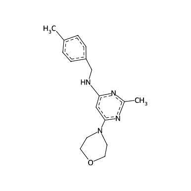 Cc1ccc(CNc2cc(N3CCOCC3)nc(C)n2)cc1